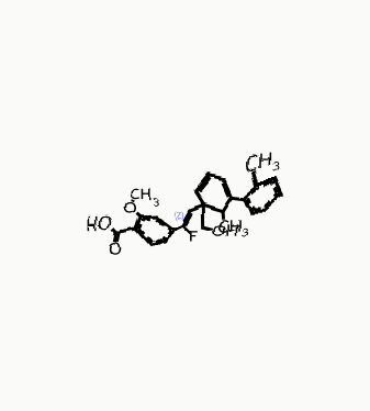 COc1cc(/C(F)=C/C2(CO)C=CC=C(c3ccccc3C)C2C)ccc1C(=O)O